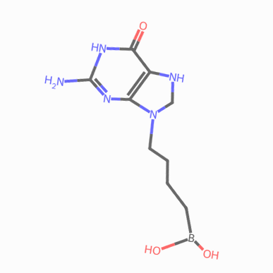 Nc1nc2c(c(=O)[nH]1)NCN2CCCCB(O)O